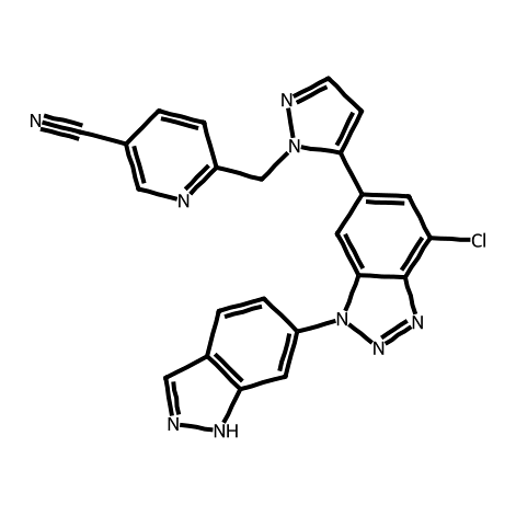 N#Cc1ccc(Cn2nccc2-c2cc(Cl)c3nnn(-c4ccc5cn[nH]c5c4)c3c2)nc1